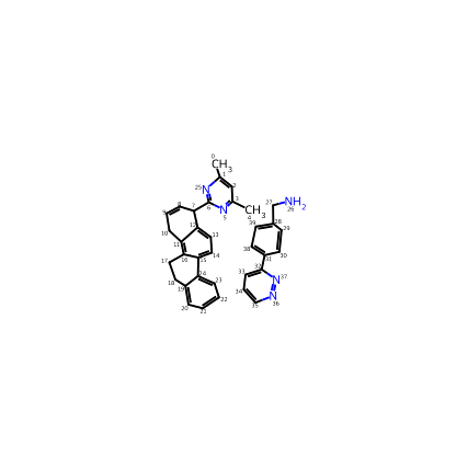 Cc1cc(C)nc(C2C=CCc3c2ccc2c3CCc3ccccc3-2)n1.NCc1ccc(-c2cccnn2)cc1